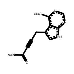 CNC(=O)C#CCc1c[nH]c2ncnc(OCC(C)C)c12